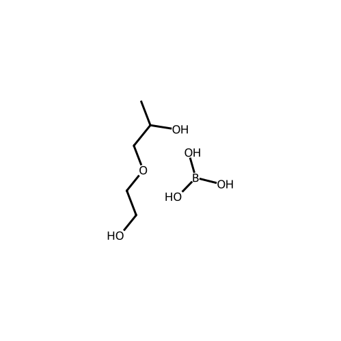 CC(O)COCCO.OB(O)O